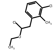 CCOC(Cl)Cc1cccc(Cl)c1C